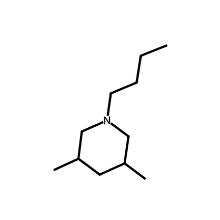 CCCCN1CC(C)CC(C)C1